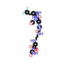 O=C(CN1CCN(c2ccc(C(=O)Nc3n[nH]c4ccc(Cc5cc(F)cc(F)c5)cc34)c(NC3CCOCC3)c2)CC1)NCCCCNc1ccc2c(c1)C(=O)N(C1CCC(=O)NC1=O)C2=O